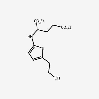 CCOC(=O)CC[C@H](Nc1ccc(CCO)s1)C(=O)OCC